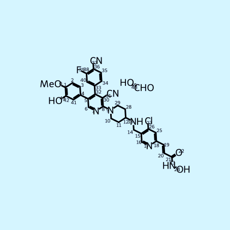 COc1ccc(-c2cnc(N3CCC(NCc4cnc(/C=C/C(=O)NO)cc4Cl)CC3)c(C#N)c2-c2ccc(C#N)c(F)c2)cc1O.O=CO